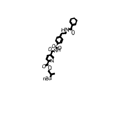 CCCCC(C)COC(=O)c1ccc(C(=O)NS(=O)(=O)c2ccc(CCNC(=O)C3CCCCC3)cc2)cn1